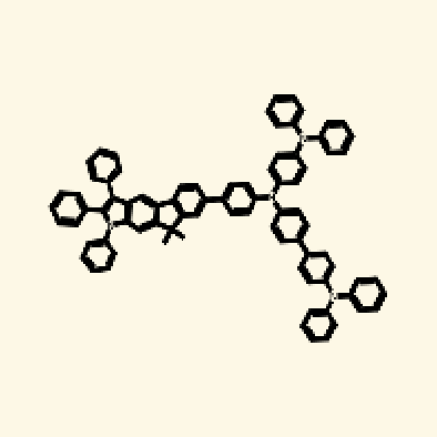 CC1(C)c2cc(-c3ccc(N(c4ccc(-c5ccc(N(c6ccccc6)c6ccccc6)cc5)cc4)c4ccc(N(c5ccccc5)c5ccccc5)cc4)cc3)ccc2-c2cc3c(-c4ccccc4)c(-c4ccccc4)n(-c4ccccc4)c3cc21